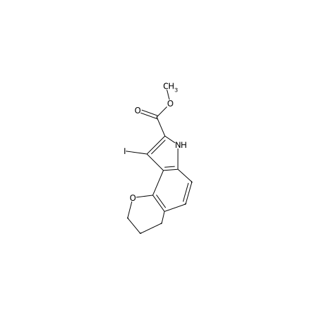 COC(=O)c1[nH]c2ccc3c(c2c1I)OCCC3